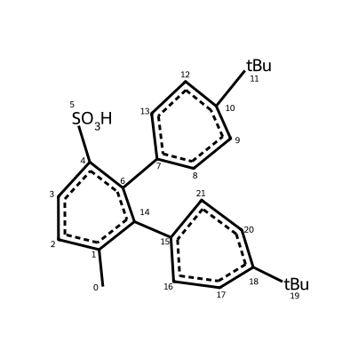 Cc1ccc(S(=O)(=O)O)c(-c2ccc(C(C)(C)C)cc2)c1-c1ccc(C(C)(C)C)cc1